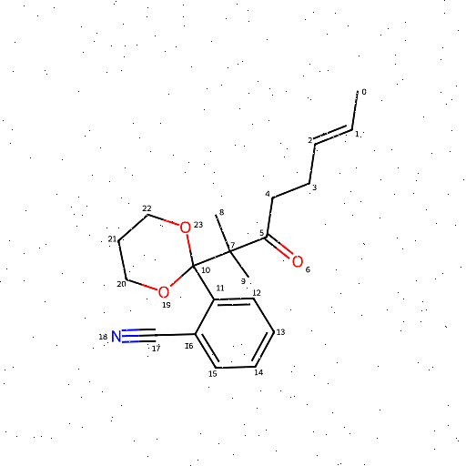 CC=CCCC(=O)C(C)(C)C1(c2ccccc2C#N)OCCCO1